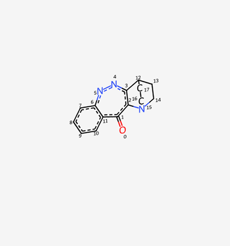 O=c1c2c(nnc3ccccc13)C1CCN2CC1